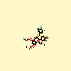 COc1cc(OC)c(/C=C(/SCc2ccc(F)cc2)C(=O)c2ccc(Br)cc2)c(OC)c1